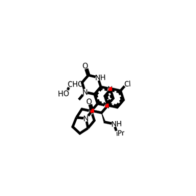 CC(C)NC[C@@H](C(=O)N1C2CCC1CN(c1ncnc3c1N(C)CC(=O)N3)C2)c1ccc(Cl)cc1.O=CO